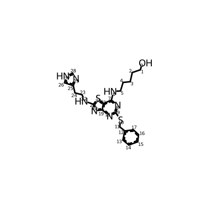 OCCCCCNc1nc(SCc2ccccc2)nc2nc(NCCc3c[nH]cn3)sc12